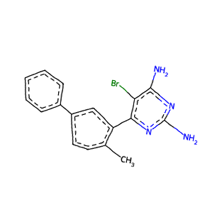 Cc1ccc(-c2ccccc2)cc1-c1nc(N)nc(N)c1Br